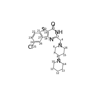 O=c1[nH]c(CN2CCC(N3CCCCC3)CC2)nc2c1sc1ccc(Cl)cc12